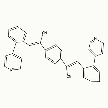 N#CC(=Cc1ccccc1-c1ccncc1)c1ccc(C(C#N)=Cc2ccccc2-c2ccncc2)cc1